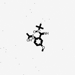 COc1ccc([SH]=C(C)O)c(C(=N)[S+]([O-])C(C)(C)C)c1